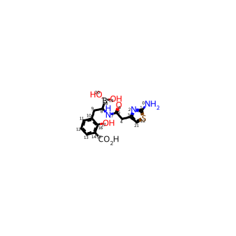 Nc1nc(CC(=O)NC(Cc2cccc(C(=O)O)c2O)B(O)O)cs1